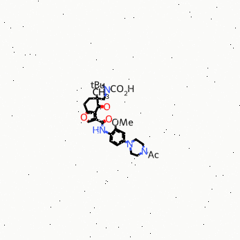 COc1cc(N2CCN(C(C)=O)CC2)ccc1NC(=O)c1coc2c1C(=O)C(C)(CN(C(=O)O)C(C)(C)C)CC2